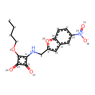 CCCCOc1c(NCc2cc3cc([N+](=O)[O-])ccc3o2)c(=O)c1=O